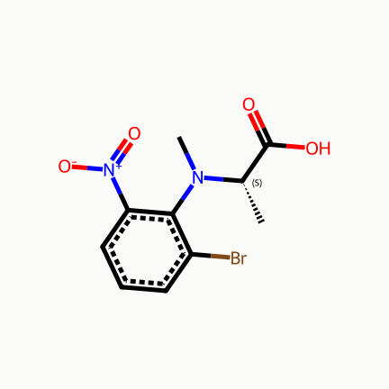 C[C@@H](C(=O)O)N(C)c1c(Br)cccc1[N+](=O)[O-]